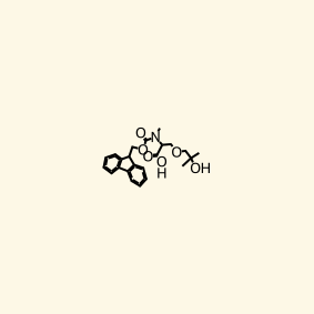 CN(C(=O)OCC1c2ccccc2-c2ccccc21)C(COCC(C)(C)O)C(=O)O